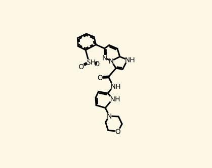 O=C(NC1=CC=CC(N2CCOCC2)N1)C1=CNC2C=CC(c3ccccc3[SH](=O)=O)=NN12